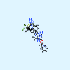 C[C@]1(c2cc(Nc3nccc4nc(OCc5ccccn5)cnc34)cc(F)c2F)N=C(N)S[C@@]2(C(F)F)C[C@@H]12